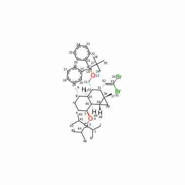 CC(C)[Si](O[C@H]1CC[C@H](C)[C@H]2[C@H](CO[Si](c3ccccc3)(c3ccccc3)C(C)(C)C)[C@H](C=C(Br)Br)[C@]3(C)C[C@@H]3[C@H]21)(C(C)C)C(C)C